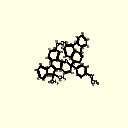 COc1ccc(C2(c3ccc4c5c(cccc35)-c3ccccc3-4)C=Cc3c4c(c5ccc(OC)cc5c3O2)-c2ccccc2C4(C)C)cc1